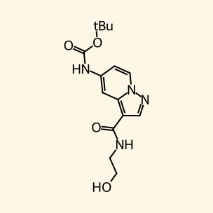 CC(C)(C)OC(=O)Nc1ccn2ncc(C(=O)NCCO)c2c1